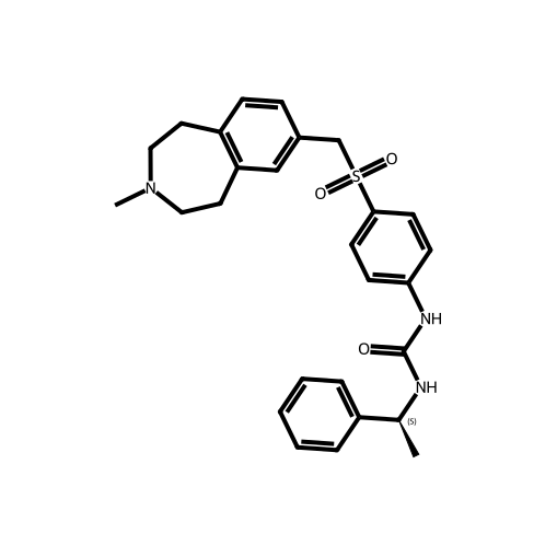 C[C@H](NC(=O)Nc1ccc(S(=O)(=O)Cc2ccc3c(c2)CCN(C)CC3)cc1)c1ccccc1